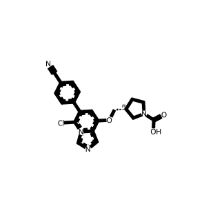 N#Cc1ccc(-c2cc(OC[C@@H]3CCN(C(=O)O)C3)c3cncn3c2Cl)cc1